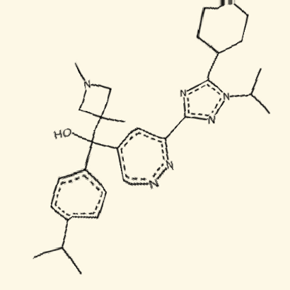 CC(C)c1ccc(C(O)(c2cnnc(-c3nc(C4CCOCC4)n(C(C)C)n3)c2)C2(C)CN(C)C2)cc1